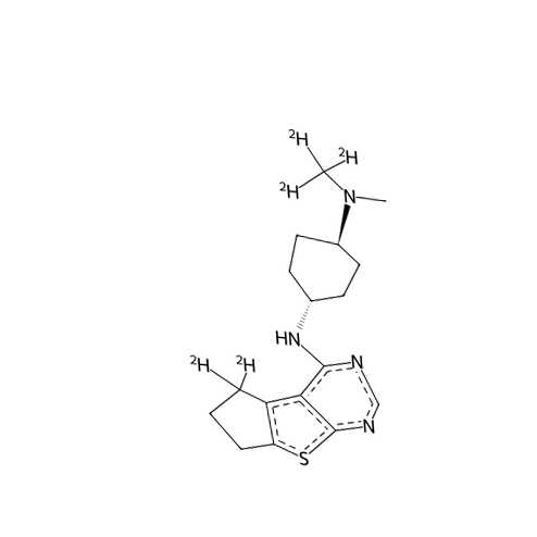 [2H]C1([2H])CCc2sc3ncnc(N[C@H]4CC[C@H](N(C)C([2H])([2H])[2H])CC4)c3c21